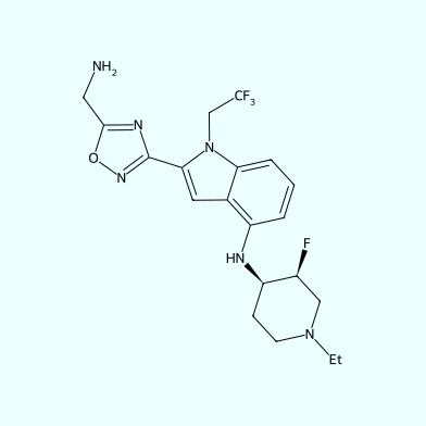 CCN1CC[C@@H](Nc2cccc3c2cc(-c2noc(CN)n2)n3CC(F)(F)F)[C@@H](F)C1